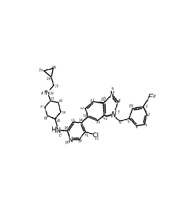 Fc1cccc(Cn2cnc3ccc(-c4cc(NC5CCC(NCC6CC6)CC5)ncc4Cl)cc32)c1